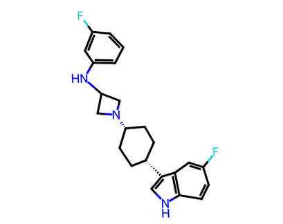 Fc1cccc(NC2CN([C@H]3CC[C@@H](c4c[nH]c5ccc(F)cc54)CC3)C2)c1